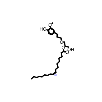 CCCCCCCC/C=C\CCCCCCCC(=O)OC(CO)COCC=Cc1ccc(O)c(OC)c1